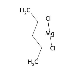 [CH2]CCCC.[Cl][Mg][Cl]